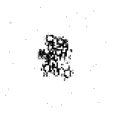 CC1(C)CN(C(=O)Cc2ccccc2)c2ccccc2C1n1cncc1CO[Si](c1ccccc1)(c1ccccc1)C(C)(C)C